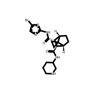 O=C(NC1CCCNC1)[C@H]1[C@H](C(=O)Nc2ncc(Br)s2)[C@@H]2CC[C@H]1C21CC1